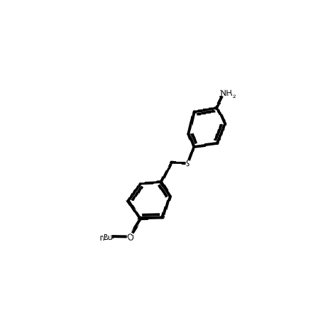 CCCCOc1ccc(CSc2ccc(N)cc2)cc1